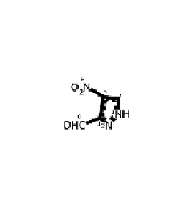 O=Cc1n[nH]cc1[N+](=O)[O-]